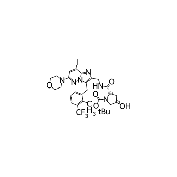 Cc1c(Cc2c(CNC(=O)[C@@H]3C[C@@H](O)CN3C(=O)OC(C)(C)C)nc3c(I)cc(N4CCOCC4)nn23)cccc1C(F)(F)F